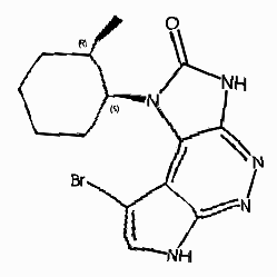 C[C@@H]1CCCC[C@@H]1n1c(=O)[nH]c2nnc3[nH]cc(Br)c3c21